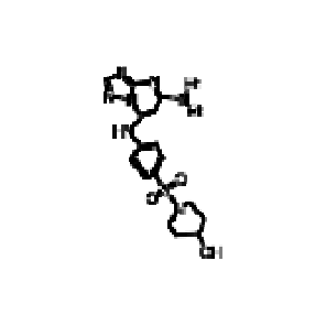 CCN(CC)c1cc(Nc2ccc(S(=O)(=O)N3CCC(O)CC3)cc2)n2ncnc2n1